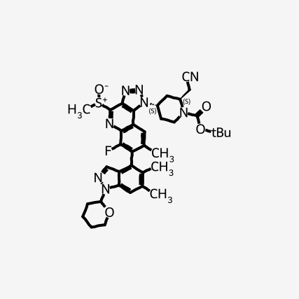 Cc1cc2c(cnn2C2CCCCO2)c(-c2c(C)cc3c(nc([S+](C)[O-])c4nnn([C@H]5CCN(C(=O)OC(C)(C)C)[C@H](CC#N)C5)c43)c2F)c1C